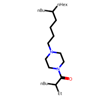 CCCCCCC(CCCC)CCCCN1CCN(C(=O)C(CC)CCCC)CC1